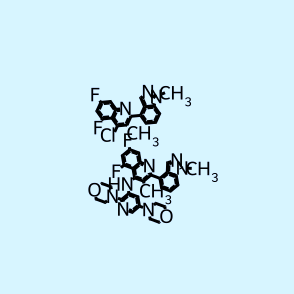 Cc1c(-c2cccc3c2cnn3C)nc2cc(F)cc(F)c2c1Cl.Cc1c(-c2cccc3c2cnn3C)nc2cc(F)cc(F)c2c1Nc1cc(N2CCOCC2)cnc1N1CCOCC1